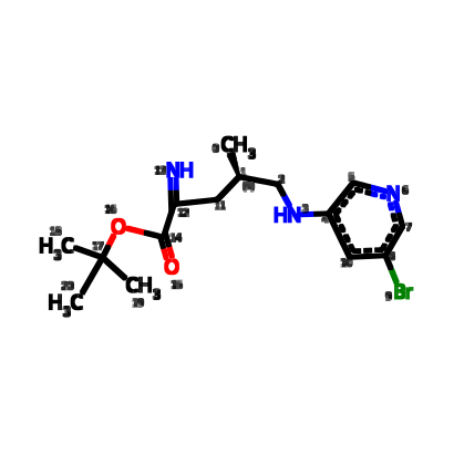 C[C@@H](CNc1cncc(Br)c1)CC(=N)C(=O)OC(C)(C)C